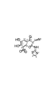 N#CC(C(=O)Nc1nccs1)C(=O)c1cc(O)c(O)c([N+](=O)[O-])c1